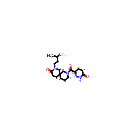 CC(C)CCN1CC2(CCCN(C(=O)C3=NNC(=O)CC3)C2)CCC1=O